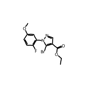 CCOC(=O)c1cnn(-c2cc(OC)ccc2F)c1Br